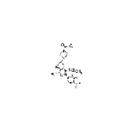 Cc1nnc(NC(C)c2cccc(C(F)F)c2F)c2cc(N3CCN(C(=O)C4CC4)CC3)cnc12